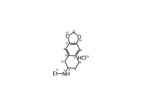 CCNC1CCc2cc3c(cc2C1)OCO3.Cl